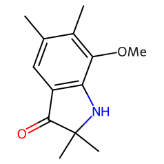 COc1c(C)c(C)cc2c1NC(C)(C)C2=O